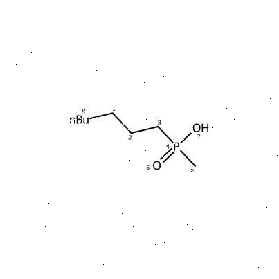 CCCCCCCP(C)(=O)O